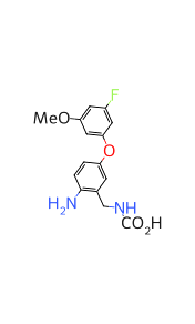 COc1cc(F)cc(Oc2ccc(N)c(CNC(=O)O)c2)c1